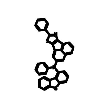 c1ccc(-c2nc3c(s2)-c2cc(N(c4ccccc4)c4cccc5sc6ccccc6c45)cc4cccc-3c24)cc1